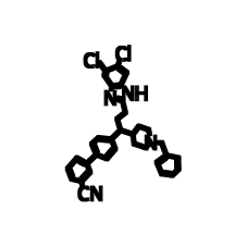 N#Cc1cccc(-c2ccc(C(CCc3nc4cc(Cl)c(Cl)cc4[nH]3)C3CCN(Cc4ccccc4)CC3)cc2)c1